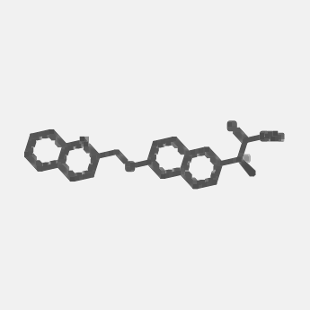 COC(=O)[C@@H](C)c1ccc2cc(OCc3ccc4ccccc4n3)ccc2c1